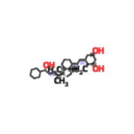 C=C1/C(=C\C=C2/CCC[C@]3(C)[C@@H]([C@H](C)/C=C/C(O)C4CCCCC4)CC[C@@H]23)C[C@@H](O)C[C@@H]1O